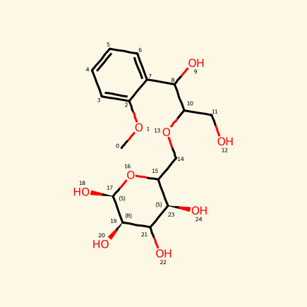 COc1ccccc1C(O)C(CO)OCC1O[C@H](O)[C@H](O)C(O)[C@@H]1O